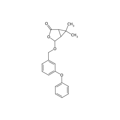 CC1(C)C2C(=O)OC(OCc3cccc(Oc4ccccc4)c3)C21